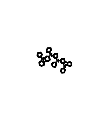 c1ccc(N(c2cccc(N(c3ccccc3)c3ccc4c5ccccc5n(-c5ccccc5)c4c3)c2)c2ccc3c4ccccc4n(-c4ccccc4)c3c2)cc1